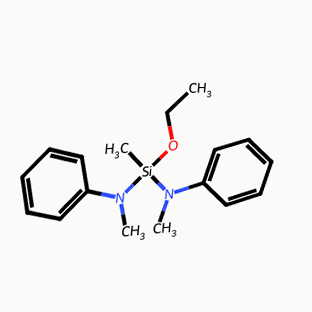 CCO[Si](C)(N(C)c1ccccc1)N(C)c1ccccc1